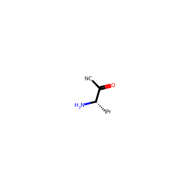 CC(C)[C@H](N)C(=O)C#N